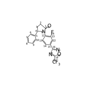 O=C1CCC(c2ccccc2)N1c1ccc(-c2noc(C(F)(F)F)n2)cc1F